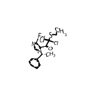 CCSC(Cl)(Cl)C(=O)c1c(F)ncn1[C@H](C)c1ccccc1